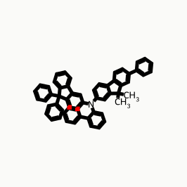 CC1(C)c2cc(-c3ccccc3)ccc2-c2ccc(N(c3ccc4c(c3)-c3ccccc3C4(c3ccccc3)c3ccccc3)c3ccccc3-c3ccccc3)cc21